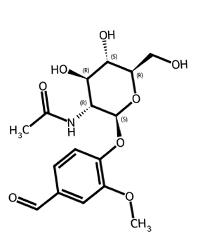 COc1cc(C=O)ccc1O[C@@H]1O[C@H](CO)[C@@H](O)[C@H](O)[C@H]1NC(C)=O